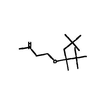 CNCCOC(C)(CC(C)(C)C)C(C)(C)C